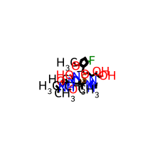 COc1ccc(F)cc1[C@H](CN1c2sc(-n3nccn3)c(C)c2C(=O)N(C(C)(C)C(=O)NC(C)C)C1O)OCCC(O)CO